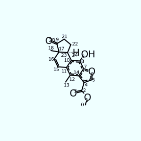 COC(=O)c1coc2c(O)c3c(c(C)c12)C=CC1(C)C(=O)CC[C@@H]31